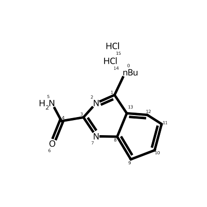 CCCCc1nc(C(N)=O)nc2ccccc12.Cl.Cl